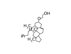 CC(C)CCCC(C)C1CC(OCCO)CC2=CCC3C4CCCC4(C)CCC3C21C